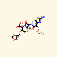 CO/N=C(\C(=O)NC1C(=O)N2C(C(=O)O)=C(SCC3COCO3)CS[C@H]12)c1csc(N)n1